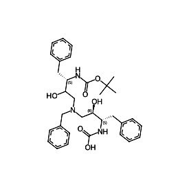 CC(C)(C)OC(=O)N[C@@H](Cc1ccccc1)C(O)CN(Cc1ccccc1)C[C@@H](O)[C@H](Cc1ccccc1)NC(=O)O